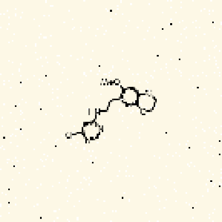 COc1cc2c(cc1CCNc1cc(Cl)ncn1)OCCO2